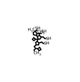 CCC(CC1CC(CCS)C(C2(C3CCC3)CC(CCS)C3C2C2CCC(C)(CS)C2C3(C)CS)C1)C1CCC1